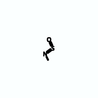 CN=S=O